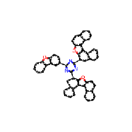 c1ccc2c(c1)ccc1oc3c(-c4nc(-c5ccc6oc7ccccc7c6c5)nc(-c5cc6ccccc6c6c5oc5ccc7ccccc7c56)n4)cc4ccccc4c3c12